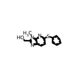 Cn1c(CO)nc2ccc(Sc3ccccc3)nc21